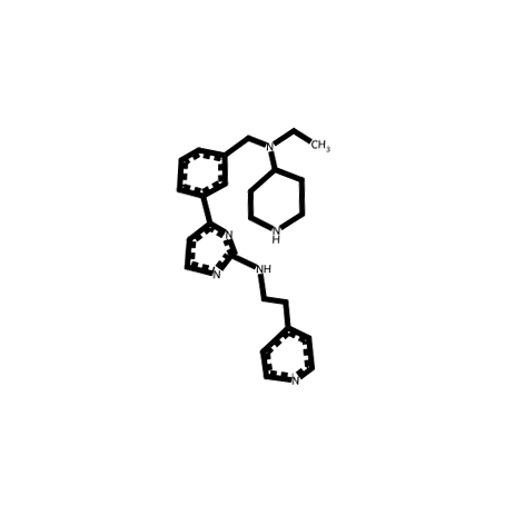 CCN(Cc1cccc(-c2ccnc(NCCc3ccncc3)n2)c1)C1CCNCC1